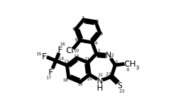 CC1N=C(c2ccccc2Cl)c2cc(C(F)(F)F)ccc2NC1=S